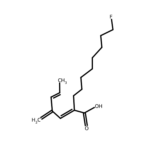 C=C(C=CC)C=C(CCCCCCCCF)C(=O)O